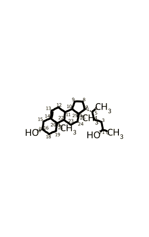 CC(O)CCC(C)[C@H]1CCC2C3CC=C4C[C@@H](O)CC[C@]4(C)C3CC[C@@]21C